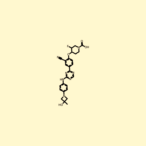 CC1(O)CN(c2ccc(Nc3ncnc(-c4ccc(OC5CCN(C(=O)O)CC5F)c(C#N)c4)n3)cc2)C1